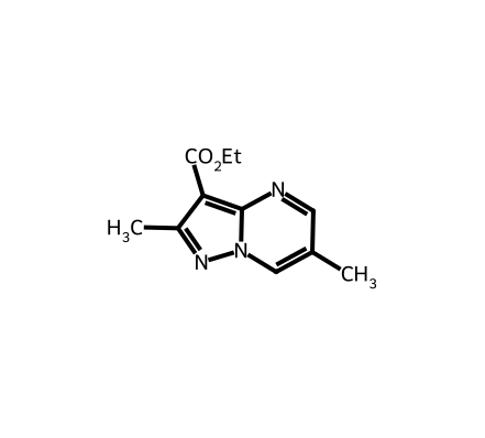 CCOC(=O)c1c(C)nn2cc(C)cnc12